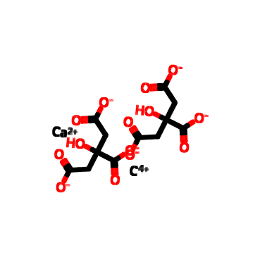 O=C([O-])CC(O)(CC(=O)[O-])C(=O)[O-].O=C([O-])CC(O)(CC(=O)[O-])C(=O)[O-].[C+4].[Ca+2]